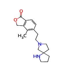 Cc1c(CCN2CCC3(CCCN3)C2)ccc2c1COC2=O